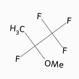 COC(C)(F)C(F)(F)F